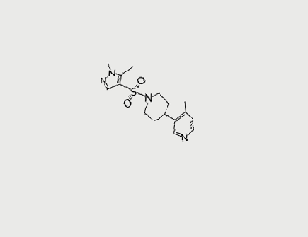 Cc1ccncc1C1CCN(S(=O)(=O)c2cnn(C)c2C)CC1